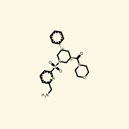 NCc1cccc(S(=O)(=O)N2C[C@H](C(=O)N3CCOCC3)C[C@@H](c3ccccc3)C2)n1